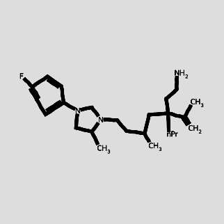 C=C(C)C(CCC)(CCN)CC(C)CCN1CN(c2ccc(F)cc2)CC1C